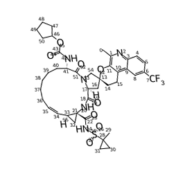 Cc1nc2ccc(C(F)(F)F)cc2c2c1O[C@]1(CC2)C[C@H]2C(=O)N[C@]3(C(=O)NS(=O)(=O)C4(C)CC4)C[C@H]3/C=C\CCCCC[C@H](NC(=O)OC3CCCC3)C(=O)N2C1